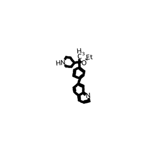 CCOC(C)(c1ccc(-c2ccc3cccnc3c2)cc1)C1CCNCC1